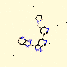 c1cnc2[nH]c(-c3n[nH]c4cnc(-c5cncc(CN6CCCC6)c5)cc34)nc2c1